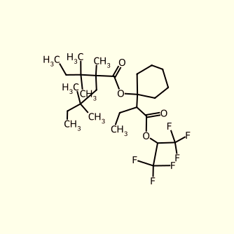 CCC(C(=O)OC(C(F)(F)F)C(F)(F)F)C1(OC(=O)C(C)(CC(C)(C)CC)C(C)(C)CC)CCCCC1